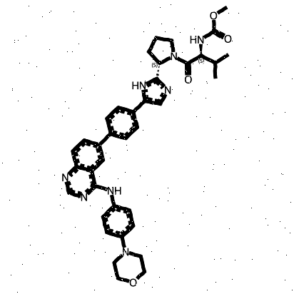 COC(=O)N[C@H](C(=O)N1CCC[C@H]1c1ncc(-c2ccc(-c3ccc4ncnc(Nc5ccc(N6CCOCC6)cc5)c4c3)cc2)[nH]1)C(C)C